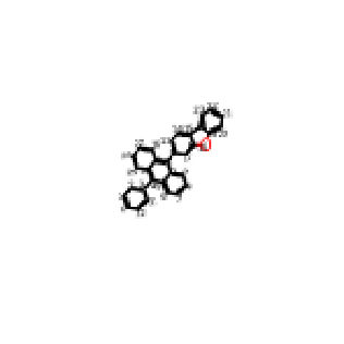 c1ccc(-c2c3ccccc3c(-c3ccc4c(c3)oc3ccccc34)c3ccccc23)cc1